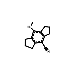 CNc1c2c(c(C#N)c3c1CCC3)CCC2